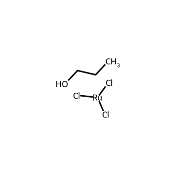 CCCO.[Cl][Ru]([Cl])[Cl]